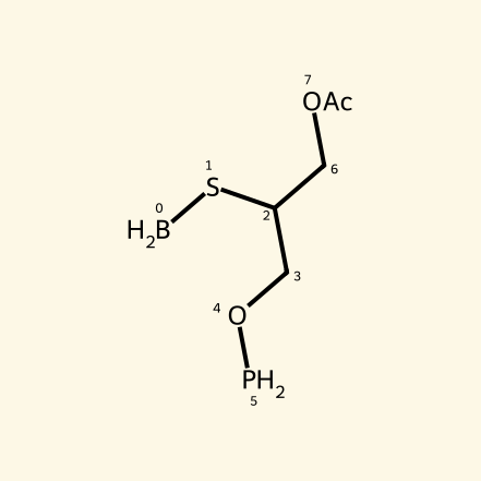 BSC(COP)COC(C)=O